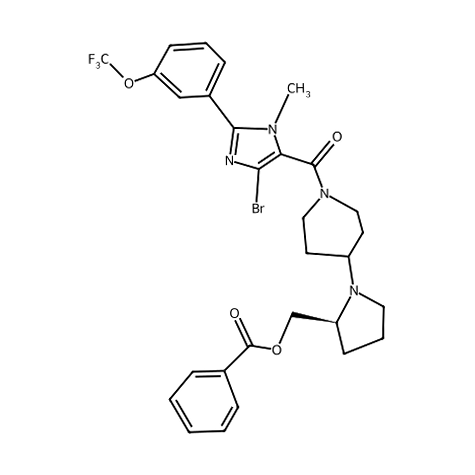 Cn1c(-c2cccc(OC(F)(F)F)c2)nc(Br)c1C(=O)N1CCC(N2CCC[C@H]2COC(=O)c2ccccc2)CC1